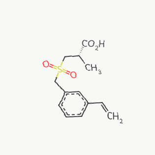 C=Cc1cccc(CS(=O)(=O)C[C@@H](C)C(=O)O)c1